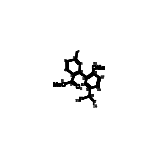 COC(=O)c1ccc(C)cc1-c1cc(C(F)F)ncc1OC